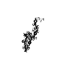 CC[C@H](C)[C@@H]([C@@H](CC(=O)N1CCC[C@H]1[C@H](O)[C@@H](C)C(=O)N[C@@H](Cc1ccc(OCC(=O)NOCc2ccc(NC(=O)[C@H](C)NC(=O)CCC(=O)N3CCC(C(=O)O)CC3)cc2)cc1)C(=O)NS(=O)(=O)C1CC1)OC)N(C)C(=O)[C@@H](NC(=O)[C@H](C(C)C)N(C)C)C(C)C